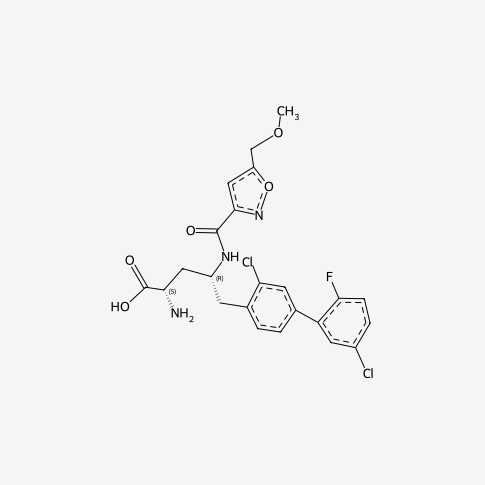 COCc1cc(C(=O)N[C@H](Cc2ccc(-c3cc(Cl)ccc3F)cc2Cl)C[C@H](N)C(=O)O)no1